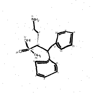 NCC[C@H](C(c1ccccc1)c1ccccc1)P(=O)(O)O